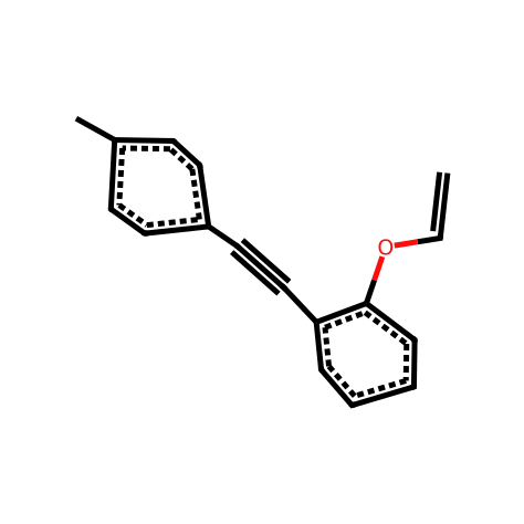 C=COc1ccccc1C#Cc1ccc(C)cc1